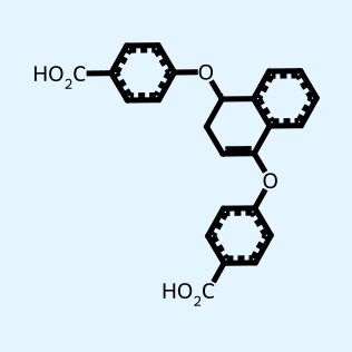 O=C(O)c1ccc(O[C]2CC=C(Oc3ccc(C(=O)O)cc3)c3ccccc32)cc1